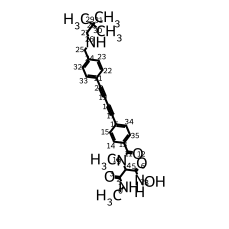 CNC(=O)C(C(=O)NO)N(C)C(=O)c1ccc(C#CC#Cc2ccc(CNCC(C)(C)C)cc2)cc1